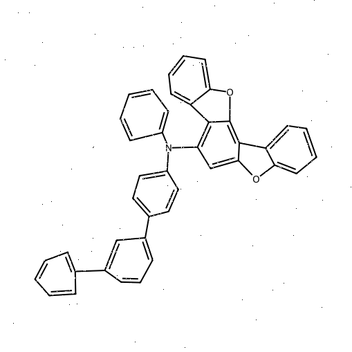 c1ccc(-c2cccc(-c3ccc(N(c4ccccc4)c4cc5oc6ccccc6c5c5oc6ccccc6c45)cc3)c2)cc1